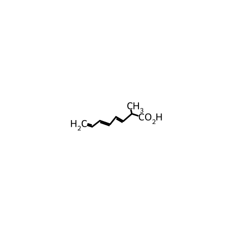 C=CC=CC=CC(C)C(=O)O